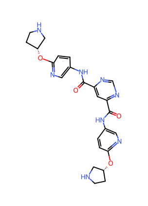 O=C(Nc1ccc(O[C@@H]2CCNC2)nc1)c1cc(C(=O)Nc2ccc(O[C@@H]3CCNC3)nc2)ncn1